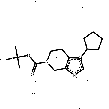 CC(C)(C)OC(=O)N1CCc2c(ncn2C2CCCC2)C1